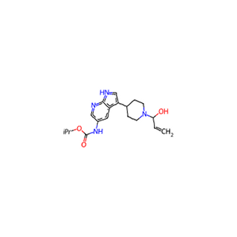 C=CC(O)N1CCC(c2c[nH]c3ncc(NC(=O)OC(C)C)cc23)CC1